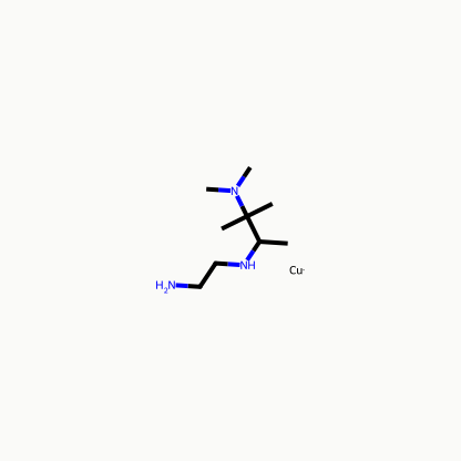 CC(NCCN)C(C)(C)N(C)C.[Cu]